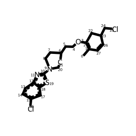 CC1=C(OCCC2CCN(c3nc4ccc(Cl)cc4s3)CC2)CC(CCl)C=C1